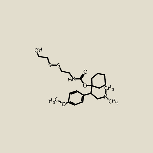 COc1ccc(C(CN(C)C)C2(OC(=O)NCCSSCCO)CCCCC2)cc1